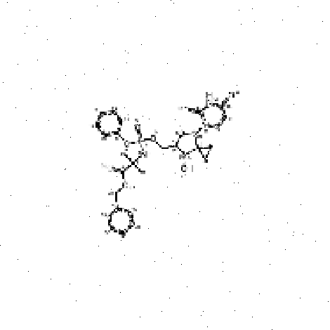 CC(C)(NP(=O)(OC[C@H]1O[C@@H](n2ccc(=O)[nH]c2=O)C2(CC2)[C@@H]1O)Oc1ccccc1)C(=O)OCc1ccccc1